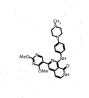 COc1ncc(-c2cc3cc[nH]c(=O)c3c(Nc3ccc(N4CCN(C)CC4)cc3)n2)c(OC)n1